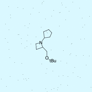 CC(C)(C)OCC1CCN1C1CCCC1